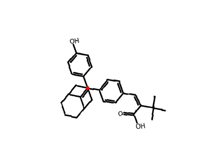 CC(C)(C)C(=Cc1ccc(C(=C2C3CCCC2CCC3)c2ccc(O)cc2)cc1)C(=O)O